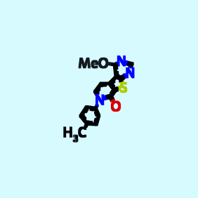 COc1ncnc2sc3c(=O)n(-c4ccc(C)cc4)ccc3c12